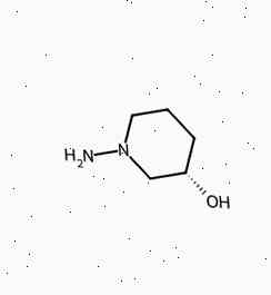 NN1CCC[C@H](O)C1